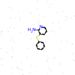 Nc1ncccc1Sc1ccccc1